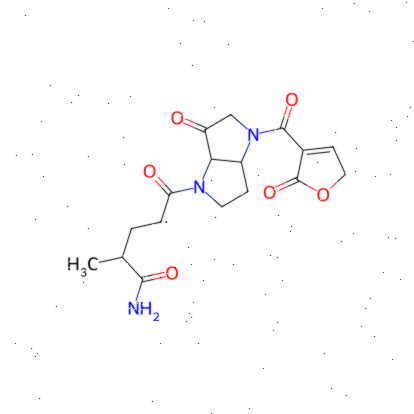 CC(C[CH]C(=O)N1CCC2C1C(=O)CN2C(=O)C1=CCOC1=O)C(N)=O